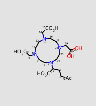 CC(=O)CCC(C(=O)O)N1CCN(CC(=O)O)CCN(CC(=O)O)CCN(CC(O)O)CC1